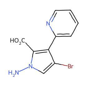 Nn1cc(Br)c(-c2ccccn2)c1C(=O)O